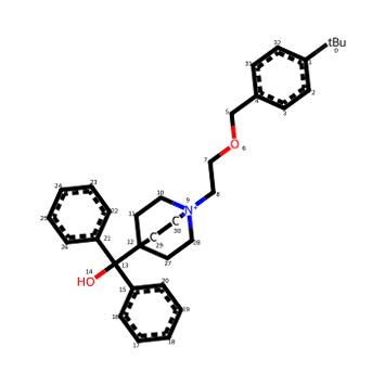 CC(C)(C)c1ccc(COCC[N+]23CCC(C(O)(c4ccccc4)c4ccccc4)(CC2)CC3)cc1